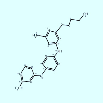 Nc1nc(CCCCO)cc(Nc2ccc(Oc3ccnc(C(F)(F)F)c3)cc2)n1